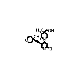 CC1(C#Cc2cnc(Cl)cc2N2CCC(C)(CO)CC2)CCOCC1